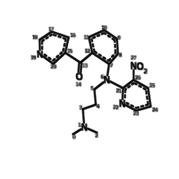 CN(C)CCCN(c1ccccc1C(=O)c1cccnc1)c1ncccc1[N+](=O)[O-]